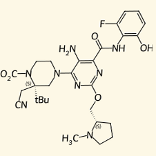 CN1CCC[C@H]1COc1nc(C(=O)Nc2c(O)cccc2F)c(N)c(N2CCN(C(=O)O)[C@@](CC#N)(C(C)(C)C)C2)n1